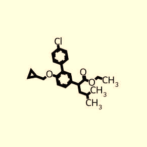 CCOC(=O)C(CC(C)C)c1ccc(OCC2CC2)c(-c2ccc(Cl)cc2)c1